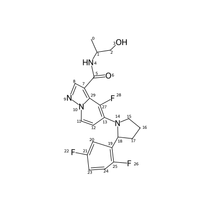 CC(CO)NC(=O)c1cnn2ccc(N3CCCC3c3cc(F)ccc3F)c(F)c12